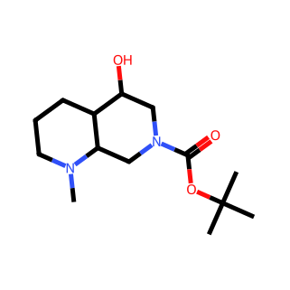 CN1CCCC2C(O)CN(C(=O)OC(C)(C)C)CC21